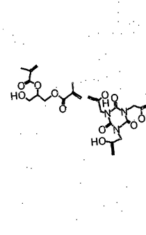 C=C(C)C(=O)OCC(CO)OC(=O)C(=C)C.C=C(O)Cn1c(=O)n(CC(=C)O)c(=O)n(CC(=C)O)c1=O